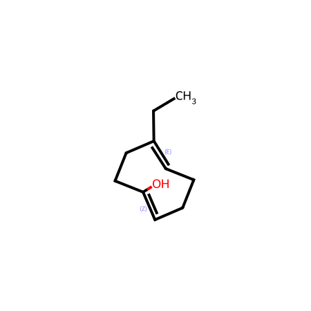 CC/C1=C\CC/C=C(\O)CC1